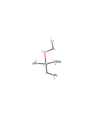 CCC[Si](CC(C)C)(OC)OCCl